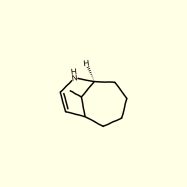 CC1C2C=CN[C@H]1CCCC2